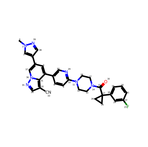 Cn1cc(-c2cc(-c3ccc(N4CCN(C(=O)C5(c6cccc(F)c6)CC5)CC4)nc3)c3c(C#N)cnn3c2)cn1